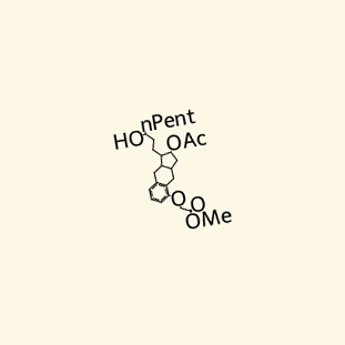 CCCCCC(O)CCC1C(OC(C)=O)CC2Cc3c(cccc3OCC(=O)OC)CC21